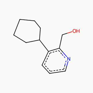 OCc1ncccc1C1CCCCC1